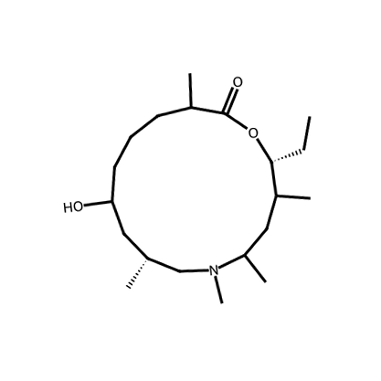 CC[C@H]1OC(=O)C(C)CCCC(O)C[C@@H](C)CN(C)C(C)CC1C